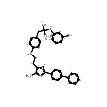 Cc1oc(-c2ccc(-c3ccccc3)cc2)nc1CCOc1ccc(CC(C)(Oc2cccc(F)c2)C(=O)O)cc1